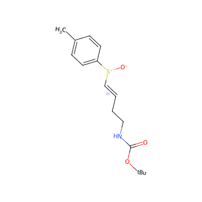 Cc1ccc([S+]([O-])/C=C/CCNC(=O)OC(C)(C)C)cc1